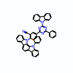 N#Cc1cc(-c2nc(-c3ccccc3)nc(-n3c4ccccc4c4ccccc43)n2)ccc1-n1c2ccccc2c2ccc3c4ccccc4n(-c4ccccc4)c3c21